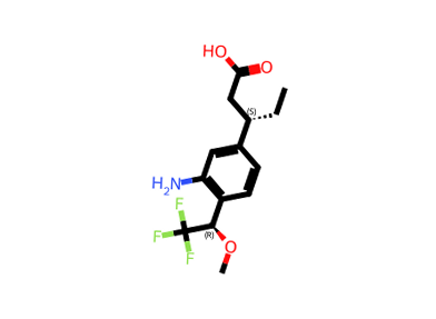 CC[C@@H](CC(=O)O)c1ccc([C@@H](OC)C(F)(F)F)c(N)c1